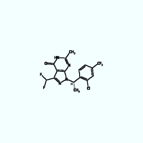 Cc1nc2c(c(C(F)F)nn2[C@@H](C)c2ccc(C(F)(F)F)cc2Cl)c(=O)[nH]1